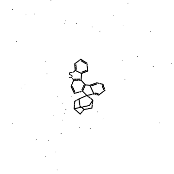 c1ccc2c(c1)-c1c(ccc3sc4ccccc4c13)C21C2CC3CC(C2)CC1C3